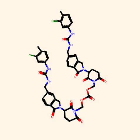 Cc1ccc(NC(=O)NCc2ccc3c(c2)CN(C2CCC(=O)N(COC(=O)OCN4C(=O)CCC(N5Cc6cc(CNC(=O)Nc7ccc(C)c(Cl)c7)ccc6C5=O)C4=O)C2=O)C3=O)cc1Cl